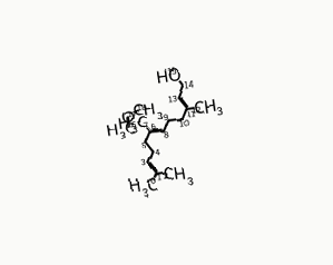 CC(C)=CCCC(C)=CCCC(C)=CCO.COC